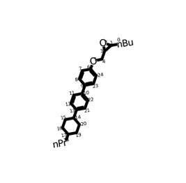 CCCCC1OC1COc1ccc(-c2ccc(C3CCC(CCC)CC3)cc2)cc1